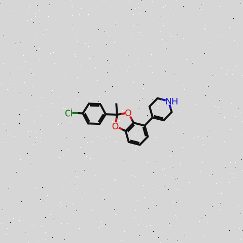 CC1(c2ccc(Cl)cc2)Oc2cccc(C3=CCNCC3)c2O1